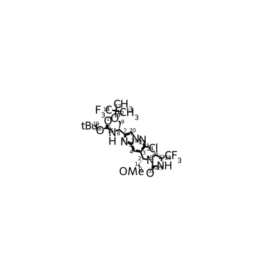 COC[C@H](c1cc2nc([C@H](COC(C)(C)C(F)(F)F)NC(=O)OC(C)(C)C)cn2nc1Cl)N1C[C@@H](C(F)(F)F)NC1=O